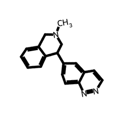 CN1Cc2ccccc2C(c2ccc3nnccc3c2)C1